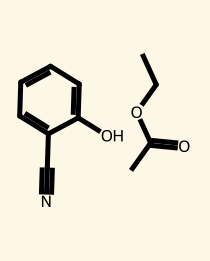 CCOC(C)=O.N#Cc1ccccc1O